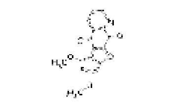 COc1cc(OC)c2c3c(oc2c1)C(=O)c1ncccc1C3=O